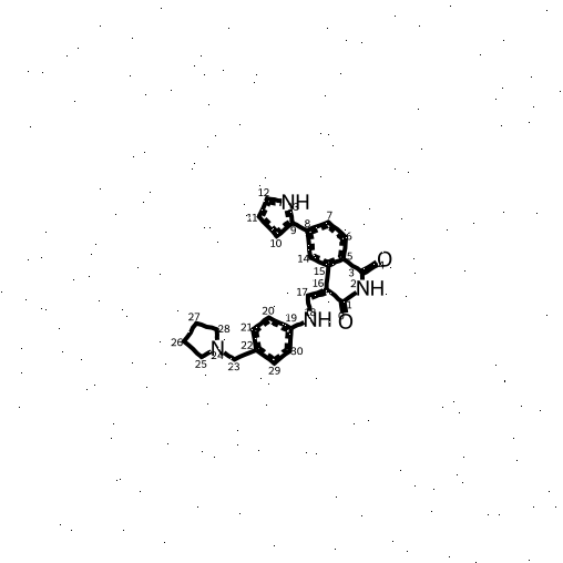 O=C1NC(=O)c2ccc(-c3ccc[nH]3)cc2C1=CNc1ccc(CN2CCCC2)cc1